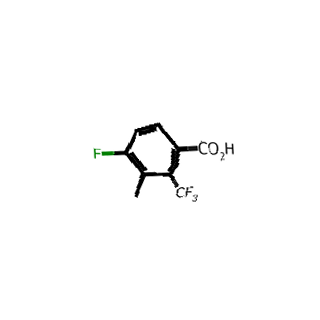 Cc1c(F)ccc(C(=O)O)c1C(F)(F)F